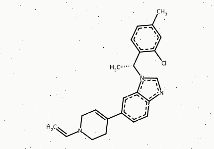 C=CN1CC=C(c2ccc3ncn([C@H](C)c4ccc(C)cc4Cl)c3c2)CC1